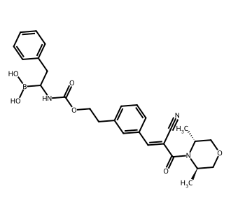 C[C@@H]1COC[C@@H](C)N1C(=O)C(C#N)=Cc1cccc(CCOC(=O)NC(Cc2ccccc2)B(O)O)c1